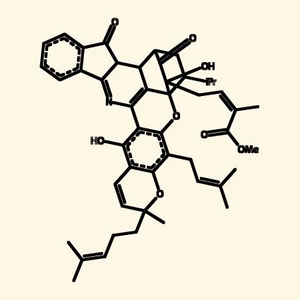 COC(=O)/C(C)=C\CC1(O)C(=O)C2CC(C(C)C)C13Oc1c(CC=C(C)C)c4c(c(O)c1C1=C3C2C2C(=O)c3ccccc3C2=N1)C=CC(C)(CCC=C(C)C)O4